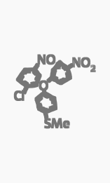 CSc1ccc(Oc2ccc([N+](=O)[O-])cc2)cc1.O=[N+]([O-])c1ccc(Cl)cc1